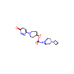 O=C1CC=C(N2CCC(OC(=O)N3CCN(C4CCC4)CC3)CC2)N=N1